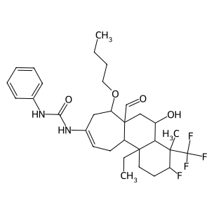 CCCCOC1CC(NC(=O)Nc2ccccc2)=CCC2C1(C=O)CC(O)C1C2(CC)CCC(F)C1(C)C(F)(F)F